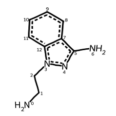 NCCn1nc(N)c2ccccc21